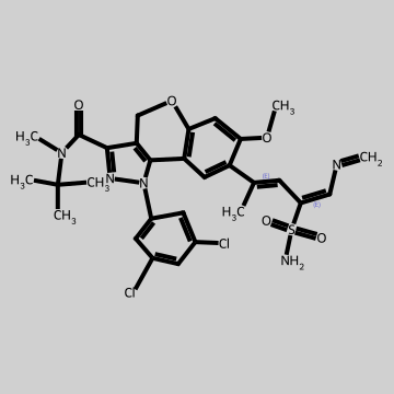 C=N/C=C(\C=C(/C)c1cc2c(cc1OC)OCc1c(C(=O)N(C)C(C)(C)C)nn(-c3cc(Cl)cc(Cl)c3)c1-2)S(N)(=O)=O